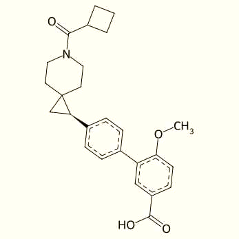 COc1ccc(C(=O)O)cc1-c1ccc([C@H]2CC23CCN(C(=O)C2CCC2)CC3)cc1